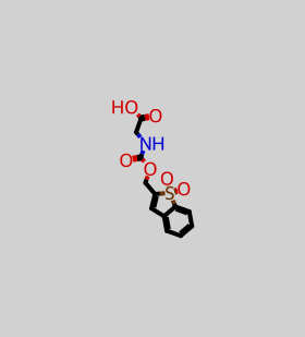 O=C(O)CNC(=O)OCC1=Cc2ccccc2S1(=O)=O